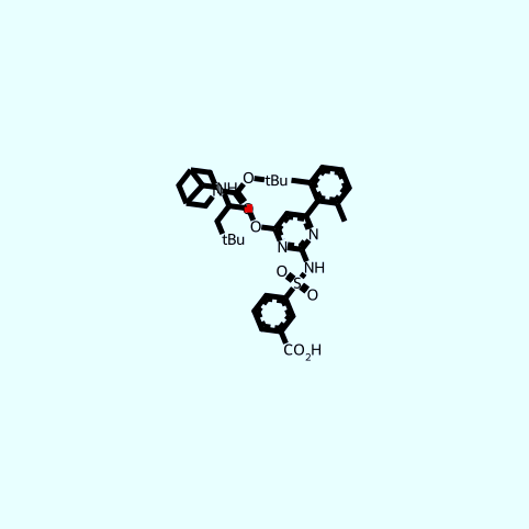 Cc1cccc(C)c1-c1cc(OCC(CC(C)(C)C)NC2C3CC2CN(C(=O)OC(C)(C)C)C3)nc(NS(=O)(=O)c2cccc(C(=O)O)c2)n1